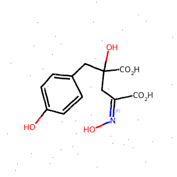 O=C(O)/C(CC(O)(Cc1ccc(O)cc1)C(=O)O)=N/O